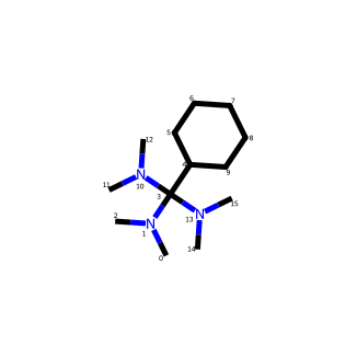 CN(C)C(C1CCCCC1)(N(C)C)N(C)C